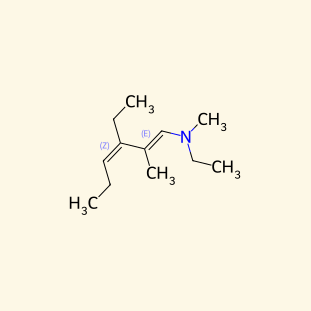 CC/C=C(CC)\C(C)=C\N(C)CC